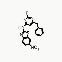 O=[N+]([O-])c1ccc2nc(Nc3cc(Cc4ccccc4)nc(F)n3)sc2c1